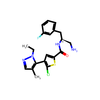 CCn1ncc(C)c1-c1cc(C(=O)N[C@H](CN)Cc2cccc(F)c2)sc1Cl